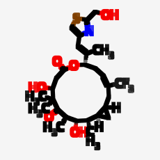 C/C(=C\c1csc(CO)n1)[C@@H]1C/C=C(/C(F)(F)F)C[C@@H]2C[C@H]2[C@H](C)[C@H](O)[C@@H](C)C(=O)C(C)(C)[C@@H](O)CC(=O)O1